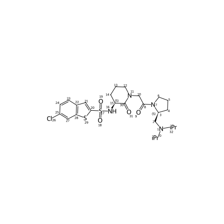 CC(C)N(C[C@@H]1CCCN1C(=O)CN1CCC[C@H](NS(=O)(=O)c2cc3ccc(Cl)cc3s2)C1=O)C(C)C